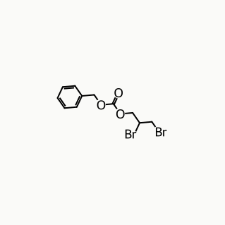 O=C(OCc1ccccc1)OCC(Br)CBr